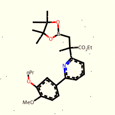 CCCOc1cc(-c2cccc(C(C)(CB3OC(C)(C)C(C)(C)O3)C(=O)OCC)n2)ccc1OC